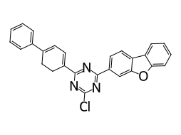 Clc1nc(C2=CC=C(c3ccccc3)CC2)nc(-c2ccc3c(c2)oc2ccccc23)n1